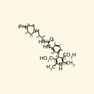 CC1=C(C(=O)O)C(c2cccc(NC(=O)NCCCN3CCN(C(C)C)CC3)c2)C(C(=O)O)=C(C)N1